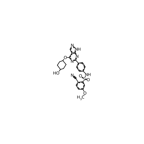 COc1ccc(C#N)c(S(=O)(=O)Nc2ccc(-c3nc(OC4CCC(O)CC4)c4cn[nH]c4n3)cc2)c1